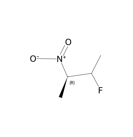 CC(F)[C@@H](C)[N+](=O)[O-]